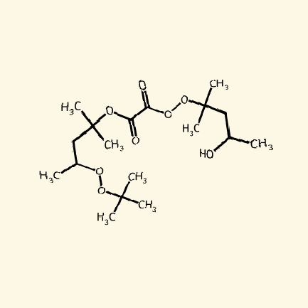 CC(O)CC(C)(C)OOC(=O)C(=O)OC(C)(C)CC(C)OOC(C)(C)C